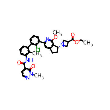 CCOC(=O)C1CN([C@@H]2CCc3cc(-c4cccc(-c5cccc(NC(=O)c6ccnn(C)c6=O)c5C)c4Cl)nc(OC)c32)C1